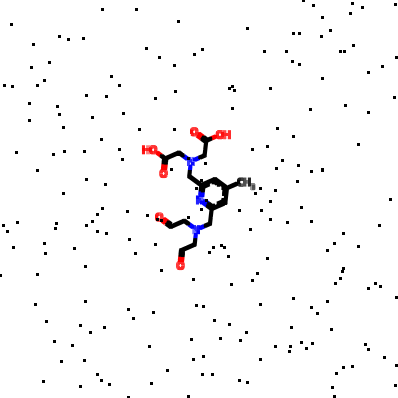 Cc1cc(CN(CC=O)CC=O)nc(CN(CC(=O)O)CC(=O)O)c1